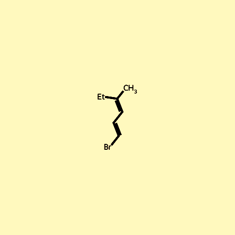 CC/C(C)=C\C=C\Br